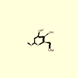 OC[C@H]1OC(OI)CC(O)[C@H]1O